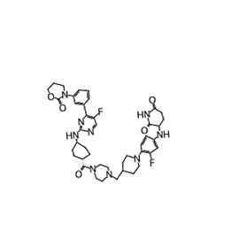 O=C1CCC(Nc2ccc(N3CCC(CN4CCN(C(=O)[C@H]5CC[C@H](Nc6ncc(F)c(-c7cccc(N8CCCOC8=O)c7)n6)CC5)CC4)CC3)c(F)c2)C(=O)N1